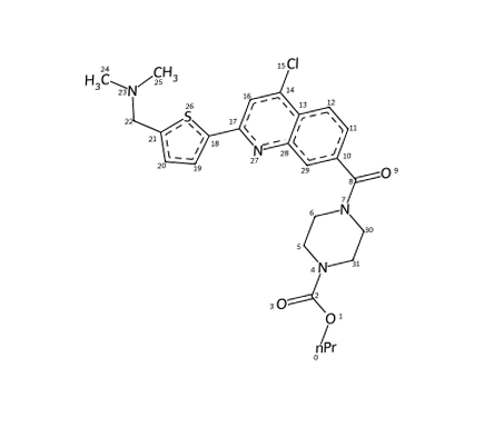 CCCOC(=O)N1CCN(C(=O)c2ccc3c(Cl)cc(-c4ccc(CN(C)C)s4)nc3c2)CC1